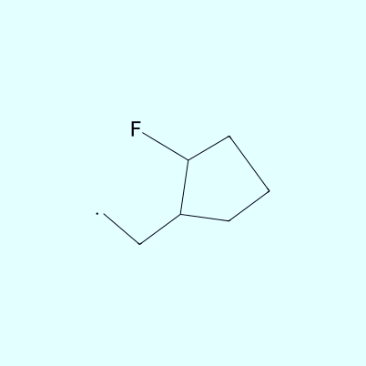 [CH2]CC1CCCC1F